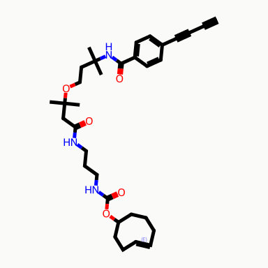 C#CC#Cc1ccc(C(=O)NC(C)(C)CCOC(C)(C)CC(=O)NCCCNC(=O)OC2CC/C=C/CCC2)cc1